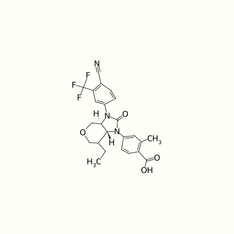 CCC1COC[C@@H]2[C@@H]1N(c1ccc(C(=O)O)c(C)c1)C(=O)N2c1ccc(C#N)c(C(F)(F)F)c1